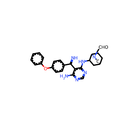 N=C(c1ccc(Oc2ccccc2)cc1)c1c(N)ncnc1NC1CC2CCC1N(C=O)C2